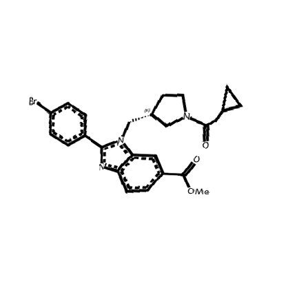 COC(=O)c1ccc2nc(-c3ccc(Br)cc3)n(C[C@@H]3CCN(C(=O)C4CC4)C3)c2c1